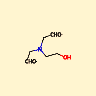 O=[C]CN(C[C]=O)CCO